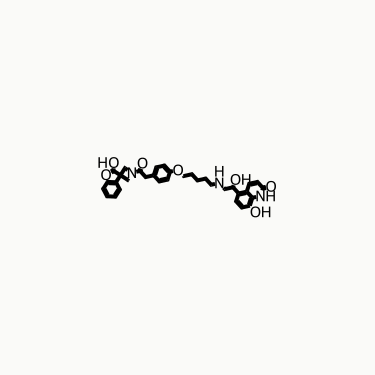 O=C(Cc1ccc(OCCCCCNCC(O)c2ccc(O)c3[nH]c(=O)ccc23)cc1)N1CC(C(=O)O)(c2ccccc2)C1